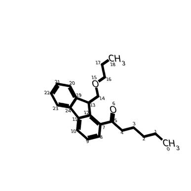 CCCCCC(=O)c1cccc2c1C(COCCC)c1ccccc1-2